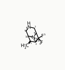 C=C1CC(F)(F)C2CNCC1N2C